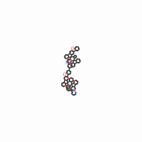 c1ccc(-c2ccc(-c3cccc4c3C3(c5cc6c(cc5-4)oc4cc(-c5ccc7oc(-c8cccc9c8C8(c%10cc%11c(cc%10-9)oc9ccccc9%11)c9ccccc9C9(c%10ccccc%10-c%10ccccc%109)c9ccccc98)nc7c5)ccc46)c4ccccc4C4(c5ccccc5-c5ccccc54)c4ccccc43)cc2)nc1